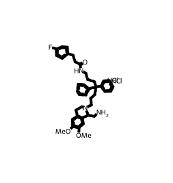 COc1cc2c(cc1OC)C(CN)N(CCCC(CCCNC(=O)CCc1ccc(F)cc1)(c1ccccc1)c1ccccc1)CC2.Cl.Cl